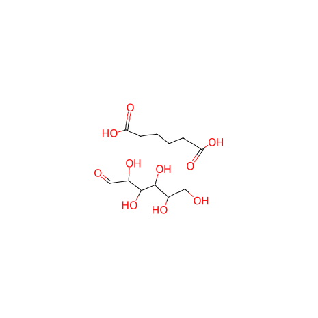 O=C(O)CCCCC(=O)O.O=CC(O)C(O)C(O)C(O)CO